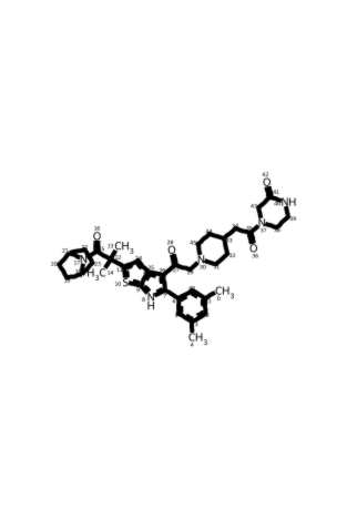 Cc1cc(C)cc(-c2[nH]c3sc(C(C)(C)C(=O)N4C5CCC4CC5)cc3c2C(=O)CN2CCC(CC(=O)N3CCNC(=O)C3)CC2)c1